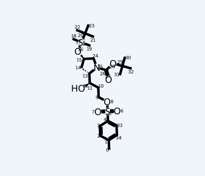 Cc1ccc(S(=O)(=O)OCC[C@@H](O)[C@@H]2C[C@@H](O[Si](C)(C)C(C)(C)C)CN2C(=O)OC(C)(C)C)cc1